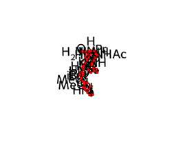 CC[C@H](C)[C@@H]([C@@H](CC(=O)N1CCC[C@H]1[C@H](OC)[C@@H](C)C(=O)N[C@@H](Cc1ccccc1)c1nccs1)OC)N(C)C(=O)[C@@H](NC(=O)C(C)(C)NC(=O)OCc1ccc(NC(=O)[C@H](CCCNC(N)=O)NC(=O)[C@@H](NC(=O)[C@@H](COCCNC(=O)OCC2c3ccccc3-c3ccccc32)NC(C)=O)C(C)C)cc1)C(C)C